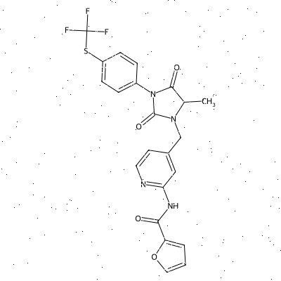 CC1C(=O)N(c2ccc(SC(F)(F)F)cc2)C(=O)N1Cc1ccnc(NC(=O)c2ccco2)c1